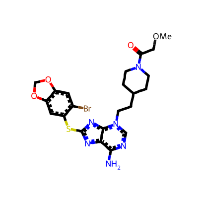 COCC(=O)N1CCC(CCn2cnc(N)c3nc(Sc4cc5c(cc4Br)OCO5)nc2-3)CC1